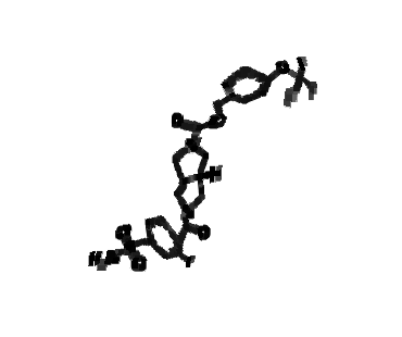 NS(=O)(=O)c1ccc(C(=O)N2C=C3CN(C(=O)OCc4ccc(OC(F)(F)F)cc4)C[C@@H]3C2)c(F)c1